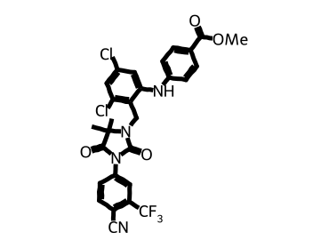 COC(=O)c1ccc(Nc2cc(Cl)cc(Cl)c2CN2C(=O)N(c3ccc(C#N)c(C(F)(F)F)c3)C(=O)C2(C)C)cc1